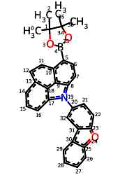 CC1(C)OB(c2ccc3c4c2ccc2cccc(c24)n3-c2ccc3oc4ccccc4c3c2)OC1(C)C